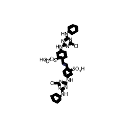 O=S(=O)(O)c1cc(Nc2nc(Cl)nc(Nc3ccccc3)n2)ccc1/C=C/c1ccc(Nc2nc(Cl)nc(Nc3ccccc3)n2)cc1SOOO